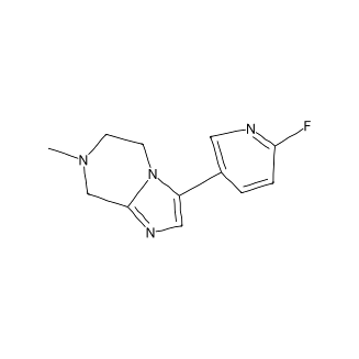 CN1CCn2c(-c3ccc(F)nc3)cnc2C1